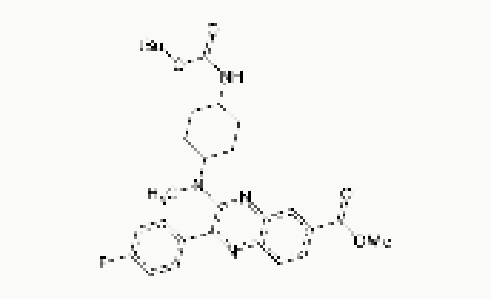 COC(=O)c1ccc2nc(-c3ccc(F)cc3)c(N(C)C3CCC(NC(=O)OC(C)(C)C)CC3)nc2c1